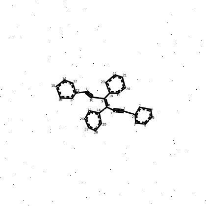 C(#Cc1ccccc1)/C(=C(/C#Cc1ccccc1)c1ccccc1)c1ccccc1